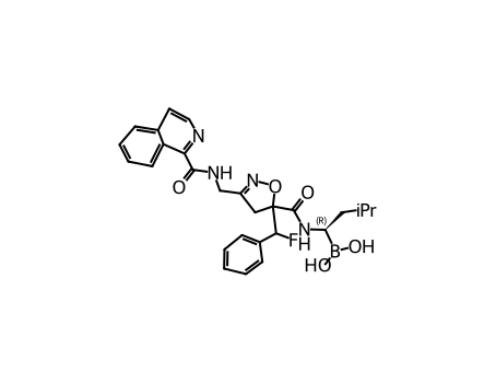 CC(C)C[C@H](NC(=O)C1(C(F)c2ccccc2)CC(CNC(=O)c2nccc3ccccc23)=NO1)B(O)O